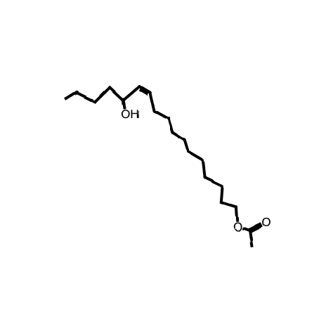 CCCCC(O)/C=C\CCCCCCCCCCOC(C)=O